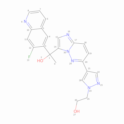 CC(O)(c1cc2cccnc2cc1F)c1cnc2ccc(-c3cnn(CCO)c3)nn12